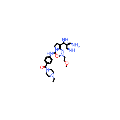 CCN1CCN(C(=O)c2ccc(NC(=O)N3CCC(C(=N)/C(C=N)=C/N)=C3NN(C)CCOC)cc2)CC1